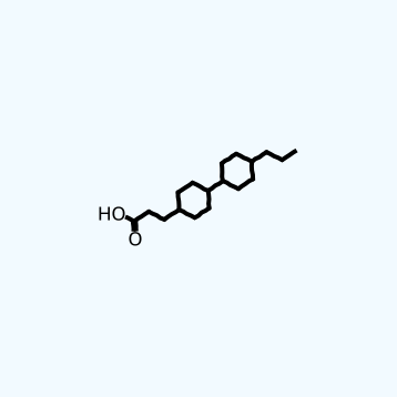 CCCC1CCC(C2CCC(CCC(=O)O)CC2)CC1